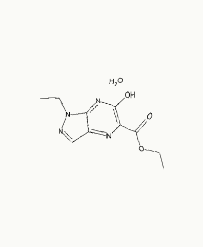 CCOC(=O)c1nc2cnn(CC)c2nc1O.O